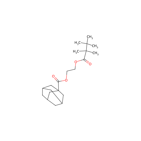 CC(C)(C)C(C)(C)C(=O)OCCOC(=O)C12CC3CC(CC(C3)C1)C2